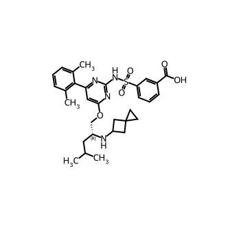 Cc1cccc(C)c1-c1cc(OC[C@@H](CC(C)C)NC2CC3(CC3)C2)nc(NS(=O)(=O)c2cccc(C(=O)O)c2)n1